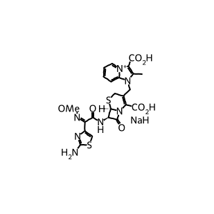 CO/N=C(\C(=O)N[C@@H]1C(=O)N2C(C(=O)O)=C(Cn3c(C)c(C(=O)O)[n+]4ccccc34)CS[C@H]12)c1csc(N)n1.[NaH]